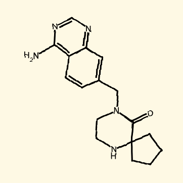 Nc1ncnc2cc(CN3CCNC4(CCCC4)C3=O)ccc12